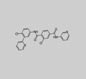 O=C(Nc1cccnc1)c1ccc(C(=O)Nc2ccc(Cl)c(-c3ccccn3)c2)c(Cl)c1